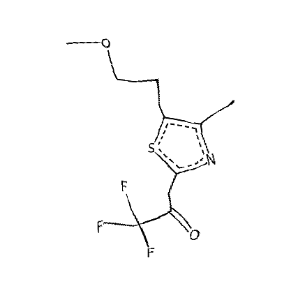 COCCc1sc(C(=O)C(F)(F)F)nc1C